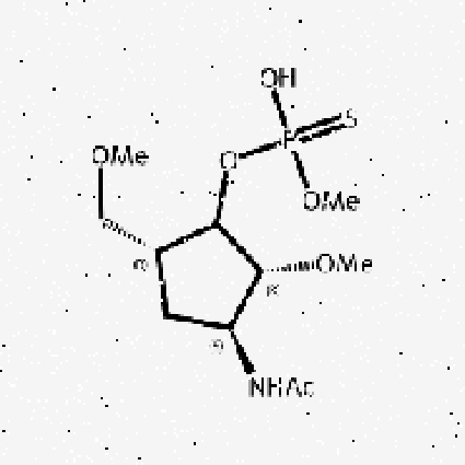 COC[C@H]1C[C@H](NC(C)=O)[C@@H](OC)C1OP(O)(=S)OC